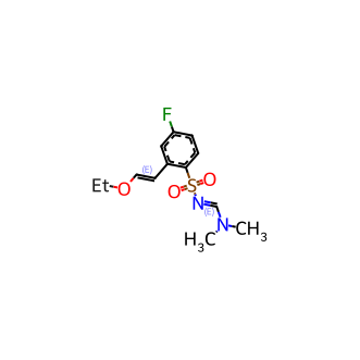 CCO/C=C/c1cc(F)ccc1S(=O)(=O)/N=C/N(C)C